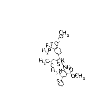 COCCOc1ccc(-c2nc(Nc3ncc(-c4cccs4)cc3C(=O)OC)sc2CC(C)C)cc1C(F)(F)P